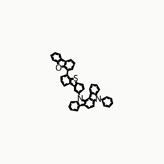 c1ccc(-n2c3ccccc3c3c2ccc2c4ccccc4n(-c4ccc5sc6c(-c7cccc8c7oc7ccccc78)cccc6c5c4)c23)cc1